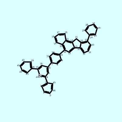 c1ccc(-c2cc(-c3ccc(-c4cc5c(c6ccccc46)Cc4c(-c6ccccc6)cccc4-5)cc3)cc(-c3ccccc3)n2)cc1